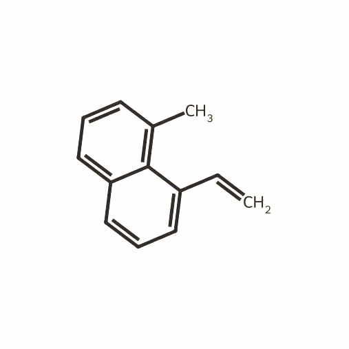 C=Cc1cccc2cccc(C)c12